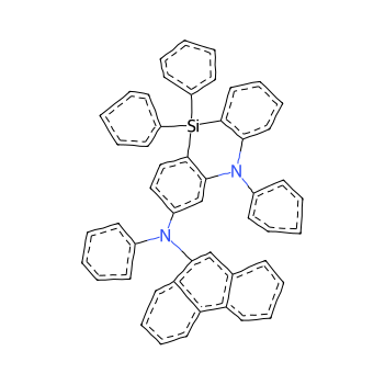 c1ccc(N2c3ccccc3[Si](c3ccccc3)(c3ccccc3)c3ccc(N(c4ccccc4)c4cc5ccccc5c5ccccc45)cc32)cc1